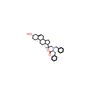 C[C@]12CCC3C(CC=C4C[C@@H](O)CC[C@@]43C)C1CCC2[C@]1(C)CN(Cc2ccccc2)[C@@H](Cc2ccccc2)C(=O)O1